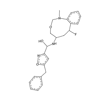 CN1COCC(NC(O)c2cc(Cc3ccccc3)on2)CC(F)c2ccccc21